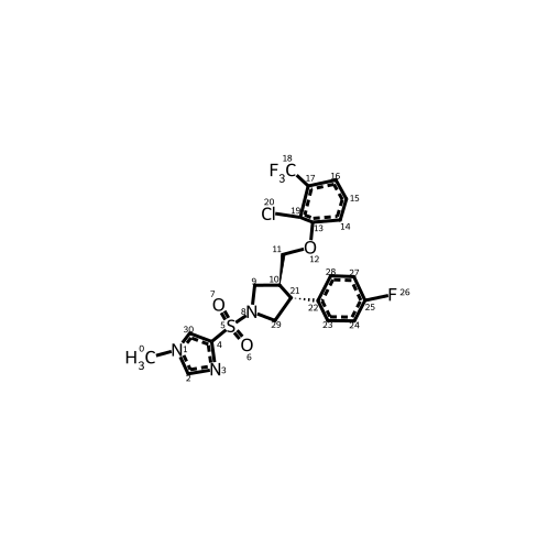 Cn1cnc(S(=O)(=O)N2C[C@@H](COc3cccc(C(F)(F)F)c3Cl)[C@H](c3ccc(F)cc3)C2)c1